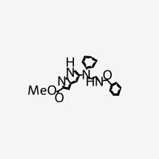 COC(=O)c1cc2cc(N(CCNC(=O)c3ccccc3)c3ccccc3)c[nH]c-2n1